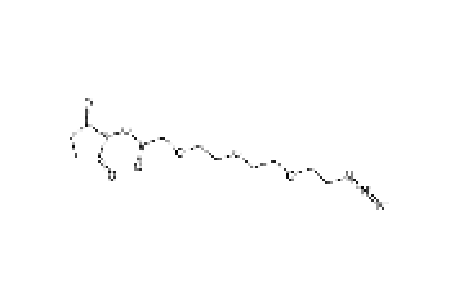 [N-]=[N+]=NCCOCCOCCOCC(=O)ON1C(=O)CCC1=O